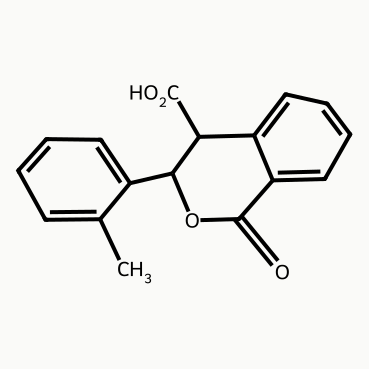 Cc1ccccc1C1OC(=O)c2ccccc2C1C(=O)O